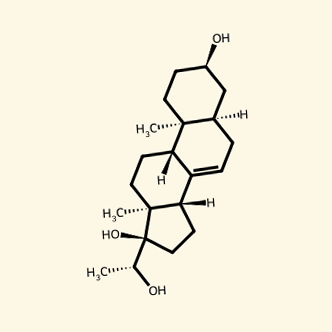 C[C@@H](O)[C@@]1(O)CC[C@H]2C3=CC[C@@H]4C[C@H](O)CC[C@]4(C)[C@H]3CC[C@@]21C